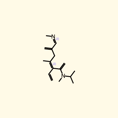 C=C/C(C(=C)N(C)C(C)C)=C(\C)CC(=C)/C=N\C